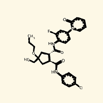 CCCOC1(CO)C[C@H](C(=O)Nc2ccc(Cl)cc2)[C@@H](C(=O)Nc2ccc(-n3ccccc3=O)cc2F)C1